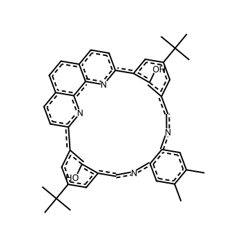 Cc1cc2ncc3cc(C(C)(C)C)cc(c3O)c3ccc4ccc5ccc(nc5c4n3)c3cc(C(C)(C)C)cc(cnc2cc1C)c3O